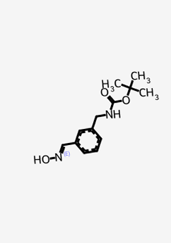 CC(C)(C)OC(=O)NCc1cccc(/C=N/O)c1